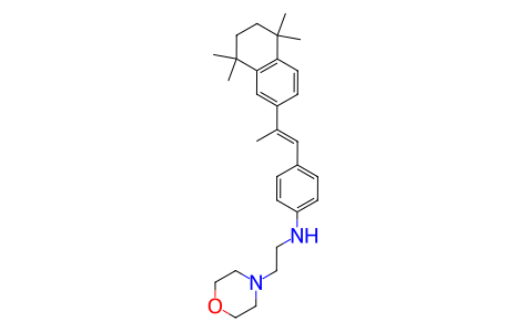 C/C(=C\c1ccc(NCCN2CCOCC2)cc1)c1ccc2c(c1)C(C)(C)CCC2(C)C